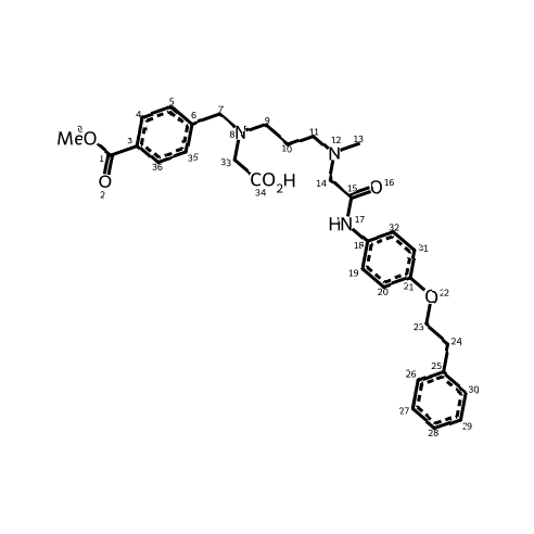 COC(=O)c1ccc(CN(CCCN(C)CC(=O)Nc2ccc(OCCc3ccccc3)cc2)CC(=O)O)cc1